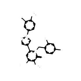 N#Cc1ccc(-n2cc(-c3cc(C(F)(F)F)c(C#N)c(=O)n3Cc3ccc(F)cc3F)cn2)cc1Cl